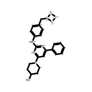 OC1CCN(c2cc(-c3ccccc3)nc(Nc3ccc(CN4OSO4)cc3)n2)CC1